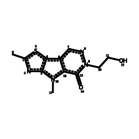 Cc1nc2c(s1)c1cnn(CCO)c(=O)c1n2C